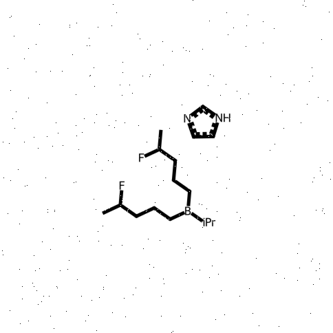 CC(F)CCCB(CCCC(C)F)C(C)C.c1c[nH]cn1